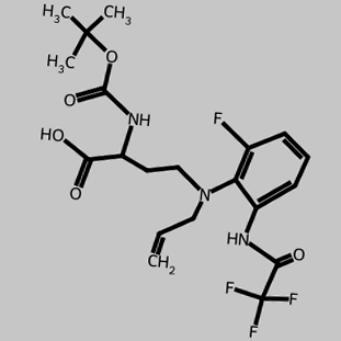 C=CCN(CCC(NC(=O)OC(C)(C)C)C(=O)O)c1c(F)cccc1NC(=O)C(F)(F)F